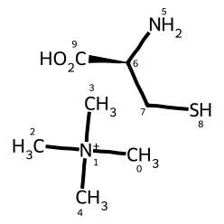 C[N+](C)(C)C.N[C@@H](CS)C(=O)O